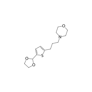 c1cc(C2OCCO2)sc1CCCN1CCOCC1